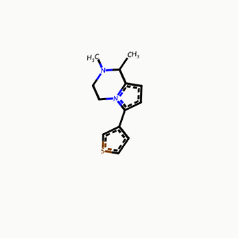 CC1c2ccc(-c3ccsc3)n2CCN1C